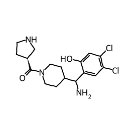 NC(c1cc(Cl)c(Cl)cc1O)C1CCN(C(=O)[C@H]2CCNC2)CC1